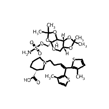 CC1(C)O[C@@H]2[C@@H](CO[C@@]3(COS(N)(=O)=O)OC(C)(C)O[C@@H]23)O1.Cc1ccsc1C(=CCCN1CCC[C@@H](C(=O)O)C1)c1sccc1C